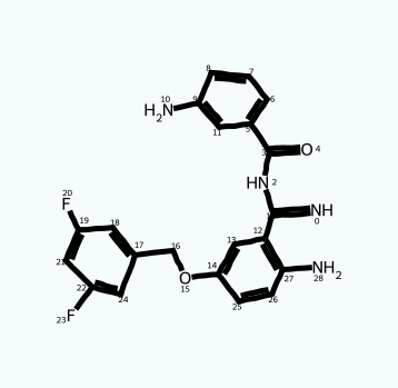 N=C(NC(=O)c1cccc(N)c1)c1cc(OCc2cc(F)cc(F)c2)ccc1N